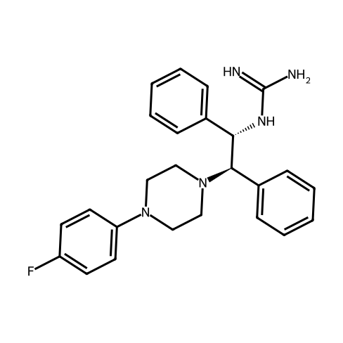 N=C(N)N[C@@H](c1ccccc1)[C@@H](c1ccccc1)N1CCN(c2ccc(F)cc2)CC1